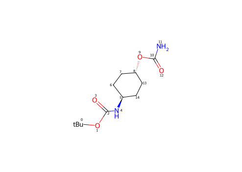 CC(C)(C)OC(=O)N[C@H]1CC[C@H](OC(N)=O)CC1